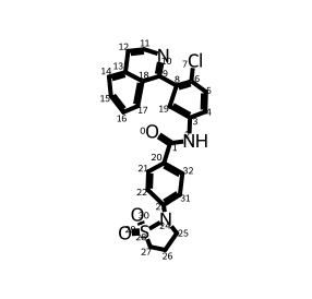 O=C(Nc1ccc(Cl)c(-c2nccc3ccccc23)c1)c1ccc(N2CCCS2(=O)=O)cc1